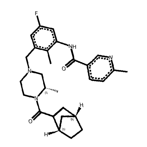 Cc1ccc(C(=O)Nc2cc(F)cc(CN3CCN(C(=O)C4C[C@@H]5CC[C@H]4C5)[C@@H](C)C3)c2C)cn1